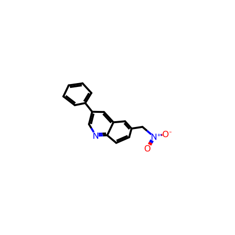 O=[N+]([O-])Cc1ccc2ncc(-c3ccccc3)cc2c1